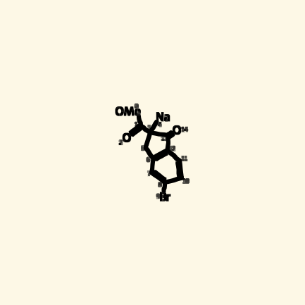 COC(=O)[C]1([Na])Cc2cc(Br)ccc2C1=O